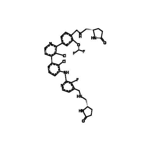 O=C1CC[C@@H](CNCc2ccc(-c3nccc(-c4cccc(Nc5nccc(CNC[C@@H]6CCC(=O)N6)c5F)c4Cl)c3Cl)cc2OC(F)F)N1